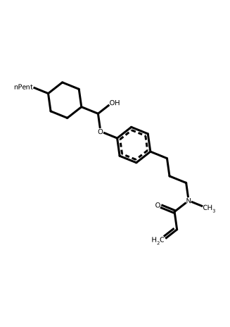 C=CC(=O)N(C)CCCc1ccc(OC(O)C2CCC(CCCCC)CC2)cc1